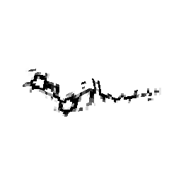 O=C(O)CCCCCNC(=O)Nc1cccc(-c2nc3cc(F)ccc3o2)c1